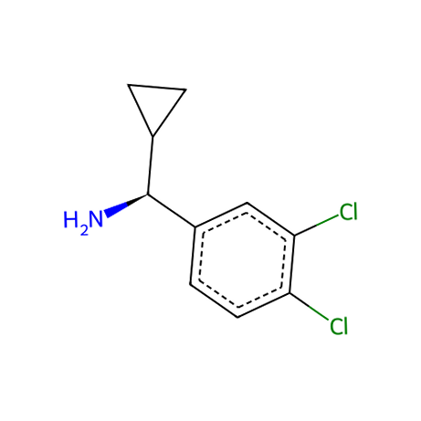 N[C@H](c1ccc(Cl)c(Cl)c1)C1CC1